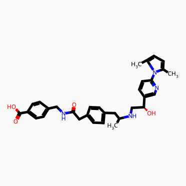 Cc1ccc(C)n1-c1ccc([C@@H](O)CNC(C)Cc2ccc(CC(=O)NCc3ccc(C(=O)O)cc3)cc2)cn1